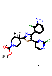 CC(C)(C)OC(=O)N1CCC(C)(c2nc(-c3cccc(N)c3F)c(-c3ccnc(Cl)n3)s2)CC1